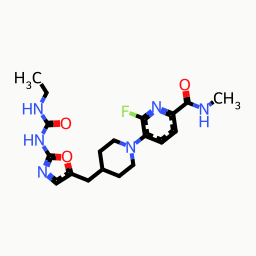 CCNC(=O)Nc1ncc(CC2CCN(c3ccc(C(=O)NC)nc3F)CC2)o1